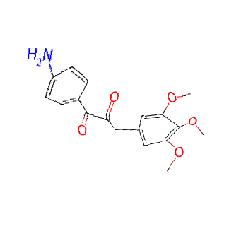 COc1cc(CC(=O)C(=O)c2ccc(N)cc2)cc(OC)c1OC